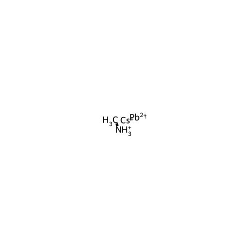 C[NH3+].[Cs+].[Pb+2]